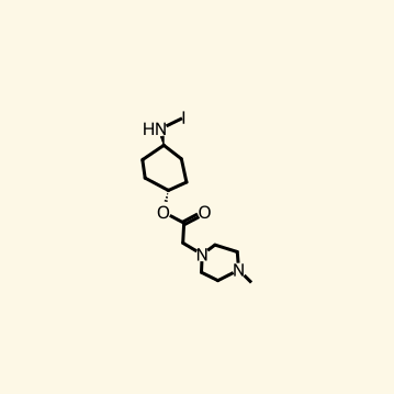 CN1CCN(CC(=O)O[C@H]2CC[C@H](NI)CC2)CC1